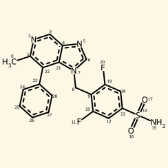 Cc1ncc2ncn(Cc3c(F)cc(S(N)(=O)=O)cc3F)c2c1-c1ccccc1